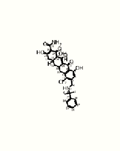 CC(C)(NCc1cc(O)c2c(c1Cl)CC1C[C@H]3CC(O)=C(C(N)=O)C(=O)[C@@]3(O)C(O)=C1C2=O)c1ccccc1